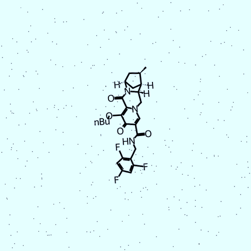 CCCCOc1c2n(cc(C(=O)NCc3c(F)cc(F)cc3F)c1=O)C[C@H]1[C@H]3C[C@H](C[C@H]3C)N1C2=O